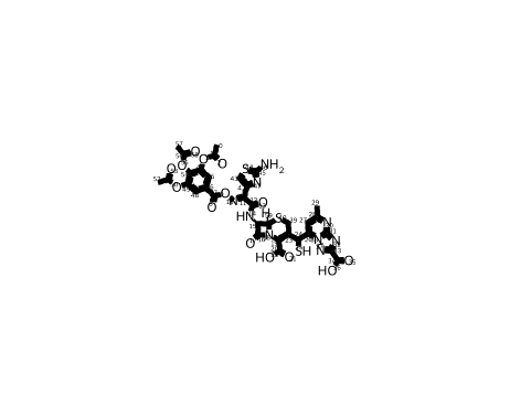 CC(=O)Oc1cc(C(=O)ON=C(C(=O)N[C@@H]2C(=O)N3C(C(=O)O)=C(C(S)c4cc(C)nc5nc(C(=O)O)nn45)CS[C@H]23)c2csc(N)n2)cc(OC(C)=O)c1OC(C)=O